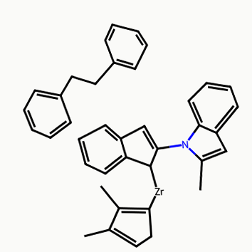 CC1=CC[C]([Zr][CH]2C(n3c(C)cc4ccccc43)=Cc3ccccc32)=C1C.c1ccc(CCc2ccccc2)cc1